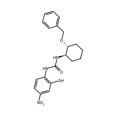 O=C(Nc1ccc([N+](=O)[O-])cc1O)N[C@@H]1CCCC[C@H]1OCc1ccccc1